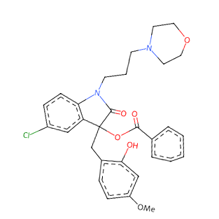 COc1ccc(CC2(OC(=O)c3ccccc3)C(=O)N(CCCN3CCOCC3)c3ccc(Cl)cc32)c(O)c1